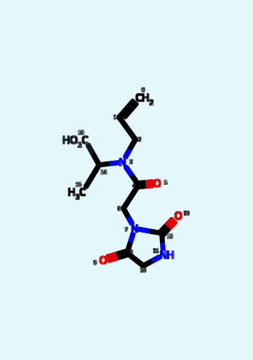 C=CCN(C(=O)CN1C(=O)CNC1=O)C(C)C(=O)O